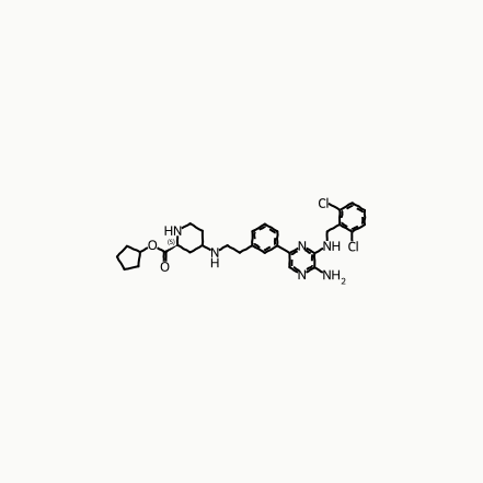 Nc1ncc(-c2cccc(CCNC3CCN[C@H](C(=O)OC4CCCC4)C3)c2)nc1NCc1c(Cl)cccc1Cl